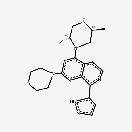 C[C@@H]1CN[C@@H](C)CN1c1cc(N2CCOCC2)nc2c(-c3ccn[nH]3)nccc12